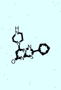 O=c1cc(N2CCNCC2)n2nc(-c3ccccc3)sc2n1